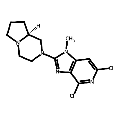 Cn1c(N2CCN3CCC[C@H]3C2)nc2c(Cl)nc(Cl)cc21